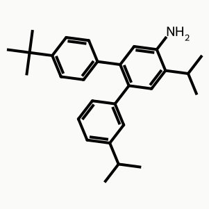 CC(C)c1cccc(-c2cc(C(C)C)c(N)cc2-c2ccc(C(C)(C)C)cc2)c1